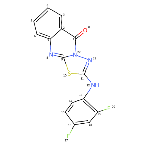 O=c1c2ccccc2nc2sc(Nc3ccc(F)cc3F)nn12